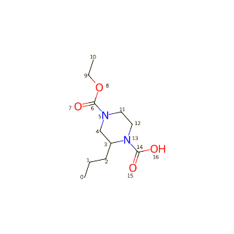 CCCC1CN(C(=O)OCC)CCN1C(=O)O